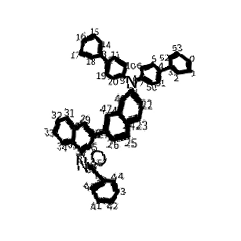 c1ccc(-c2ccc(N(c3ccc(-c4ccccc4)cc3)c3ccc4ccc(-c5cc6ccccc6c6nc(-c7ccccc7)oc56)cc4c3)cc2)cc1